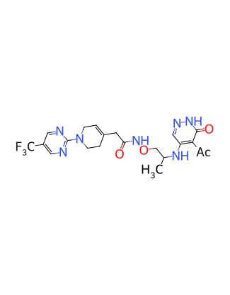 CC(=O)c1c(NC(C)CONC(=O)CC2=CCN(c3ncc(C(F)(F)F)cn3)CC2)cn[nH]c1=O